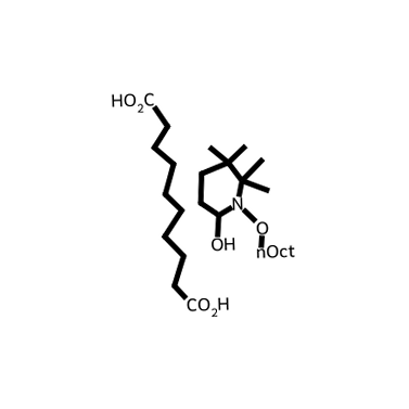 CCCCCCCCON1C(O)CCC(C)(C)C1(C)C.O=C(O)CCCCCCCCC(=O)O